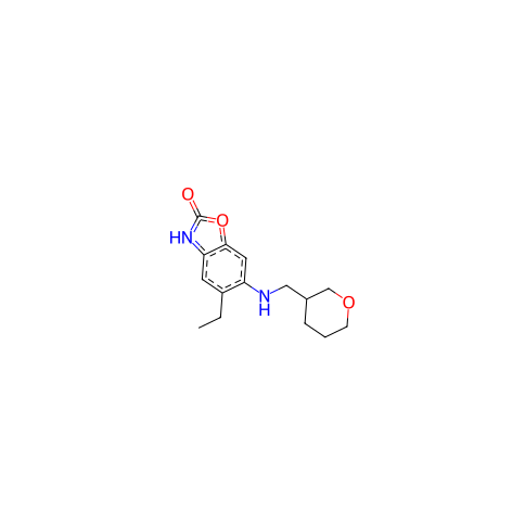 CCc1cc2[nH]c(=O)oc2cc1NCC1CCCOC1